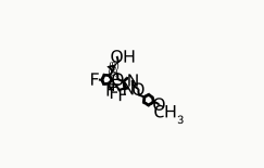 COc1ccc(COc2ncc(OC[C@@]3(c4cc(F)cc(F)c4)C[C@H]3CO)c(C(F)(F)F)n2)cc1